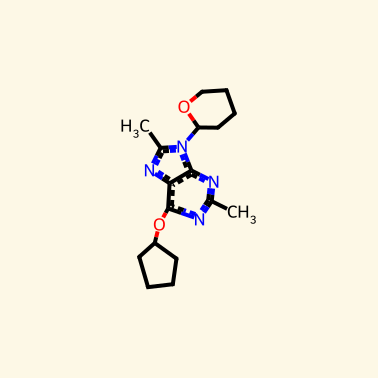 Cc1nc(OC2CCCC2)c2nc(C)n(C3CCCCO3)c2n1